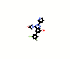 Oc1cc(-c2cc(F)cc(F)c2)cc2c(N3CC(O)C3)nc(-c3cccnc3)nc12